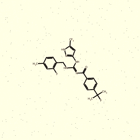 Cc1ccc(CN/C(=N/C(=O)c2ccc(C(C)(C)F)cc2)Nc2cc(C(F)(F)F)[nH]n2)c(F)c1